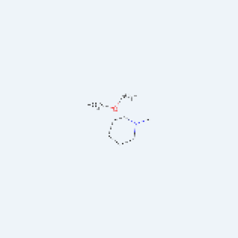 CN1CCCCC1.O=S(=O)(O)OS(=O)(=O)O